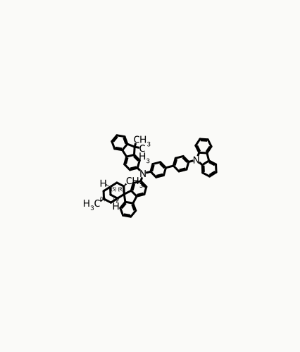 C[C@H]1C[C@@H]2C[C@H](C1)C1(c3ccccc3-c3ccc(N(c4ccc(-c5ccc(-n6c7ccccc7c7ccccc76)cc5)cc4)c4ccc5c(c4)C(C)(C)c4ccccc4-5)cc31)[C@H](C)C2